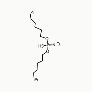 CC(C)CCCCCOP(=S)(S)OCCCCCC(C)C.[Cu]